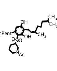 CCCCCc1cc(O)c(CC=C(C)CCC=C(C)C)c(O)c1S(=O)(=O)C1CCCN(C(C)=O)C1